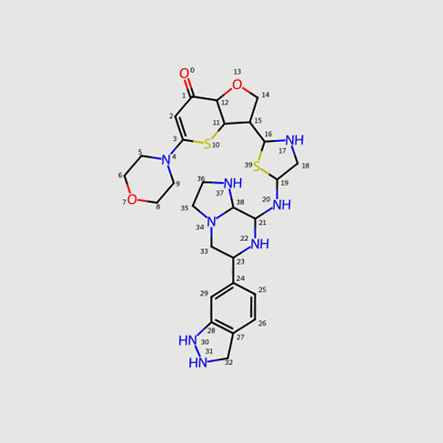 O=C1C=C(N2CCOCC2)SC2C1OCC2C1NCC(NC2NC(c3ccc4c(c3)NNC4)CN3CCNC23)S1